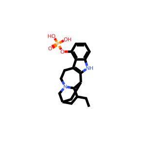 CCC1CC2CC3c4[nH]c5cccc(OP(=O)(O)O)c5c4CCN(C2)C13